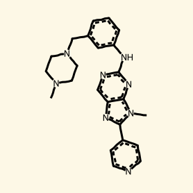 CN1CCN(Cc2cccc(Nc3ncc4nc(-c5ccncc5)n(C)c4n3)c2)CC1